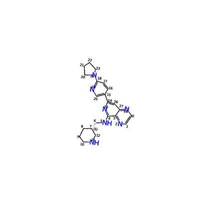 c1cnc2c(NC[C@H]3CCCNC3)nc(-c3ccc(N4CCCC4)nc3)cc2n1